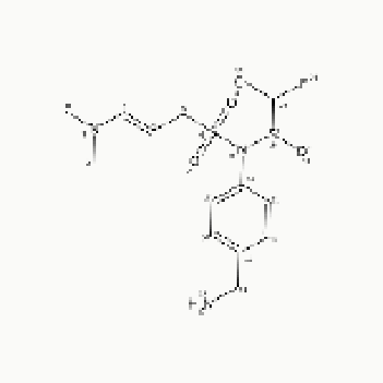 CN(C)C=CCS(=O)(=O)N(c1ccc(CN)cc1)[S+]([O-])C(F)Cl